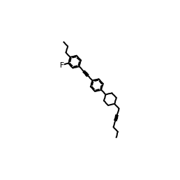 CCCC#CCC1CCC(c2ccc(C#Cc3ccc(CCC)c(F)c3)cc2)CC1